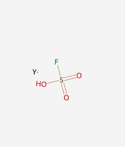 O=S(=O)(O)F.[Y]